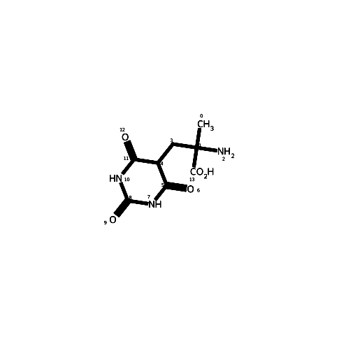 CC(N)(CC1C(=O)NC(=O)NC1=O)C(=O)O